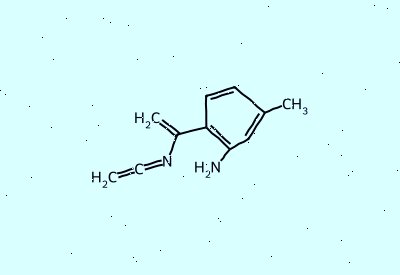 C=C=NC(=C)c1ccc(C)cc1N